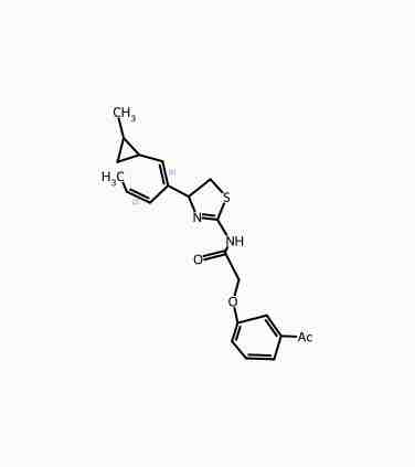 C/C=C\C(=C/C1CC1C)C1CSC(NC(=O)COc2cccc(C(C)=O)c2)=N1